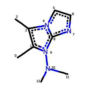 Cc1c(C)n2ccnc2n1N(C)C